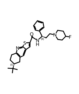 CC(C)(C)[C@H]1CCc2nc3sc(C(=O)N[C@H](CCN4CCC(F)CC4)c4ccccc4)cc3cc2C1